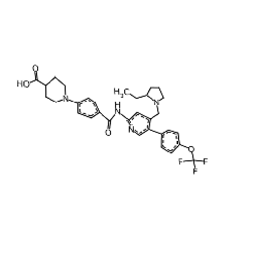 CCC1CCCN1Cc1cc(NC(=O)c2ccc(N3CCC(C(=O)O)CC3)cc2)ncc1-c1ccc(OC(F)(F)F)cc1